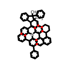 CC1(c2ccccc2)c2ccccc2C2C(c3ccccc3N(c3ccc(-c4ccccc4)cc3-c3ccccc3)c3ccccc3-c3cccc4cccc(C5CCCCC5)c34)=CC=CC21C